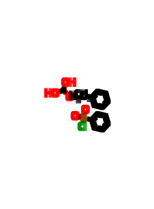 COC(O)O.Cc1ccccc1.O=S(=O)(Cl)c1ccccc1